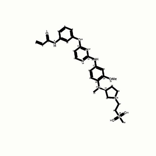 C=CC(=O)Nc1cccc(Oc2ccnc(Nc3ccc(N(C)[C@H]4CCN(CCS(C)(=O)=O)C4)c(OC)c3)n2)c1